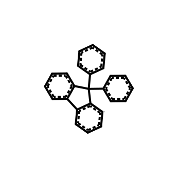 [c]1cccc2c1-c1ccc[c]c1C2(c1ccccc1)c1ccccc1